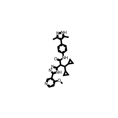 COc1ccncc1-c1nnc(C(C(=O)Nc2ccc(-c3c(C)n[nH]c3C)cc2)C(C2CC2)C2CC2)[nH]1